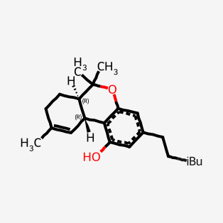 CCC(C)CCc1cc(O)c2c(c1)OC(C)(C)[C@@H]1CCC(C)=C[C@@H]21